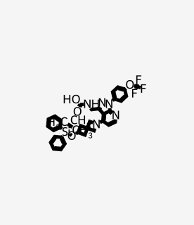 CC(C)(C)[Si](OC1CC2(C1)CN(c1ccnc3c1c(CNC(=O)O)nn3-c1ccc(OC(F)(F)F)cc1)C2)(c1ccccc1)c1ccccc1